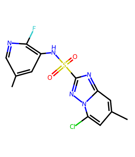 Cc1cnc(F)c(NS(=O)(=O)c2nc3cc(C)cc(Cl)n3n2)c1